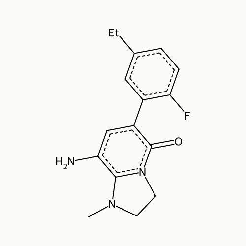 CCc1ccc(F)c(-c2cc(N)c3n(c2=O)CCN3C)c1